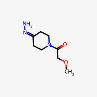 COCC(=O)N1CCC(=NN)CC1